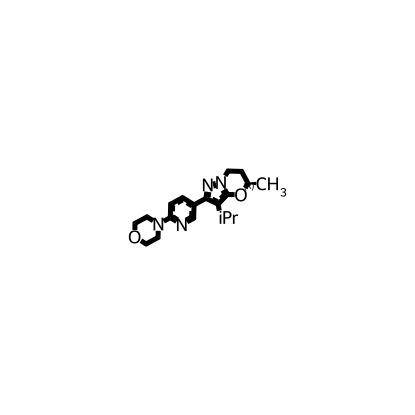 CC(C)c1c(-c2ccc(N3CCOCC3)nc2)nn2c1O[C@H](C)CC2